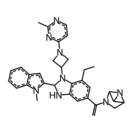 C=C(c1cc(CC)c2c(c1)NC(c1cc3ccccc3n1C)N2C1CN(c2ccnc(C)n2)C1)N1CC2C3C1N23